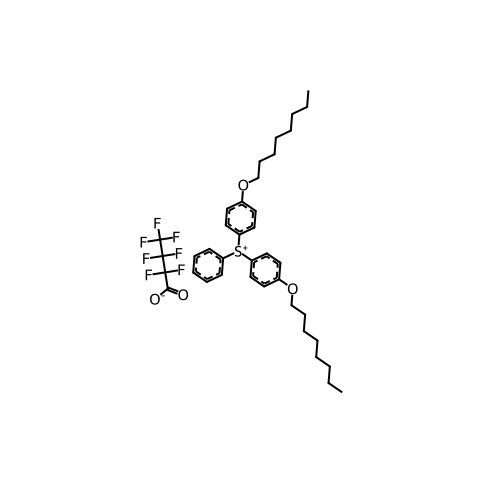 CCCCCCCCOc1ccc([S+](c2ccccc2)c2ccc(OCCCCCCCC)cc2)cc1.O=C([O-])C(F)(F)C(F)(F)C(F)(F)F